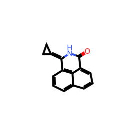 O=c1[nH]c(=C2CC2)c2cccc3cccc1c32